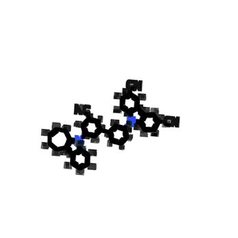 N#Cc1cc(-c2cccc(-n3c4ccc(C#N)cc4c4cc(C#N)ccc43)c2)cc(-n2c3c(c4ccccc42)CCC=CC3)c1